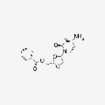 Nc1ccn(C2COC(COC(=O)c3ccccc3)O2)c(=O)n1